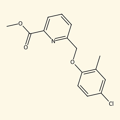 COC(=O)c1cccc(COc2ccc(Cl)cc2C)n1